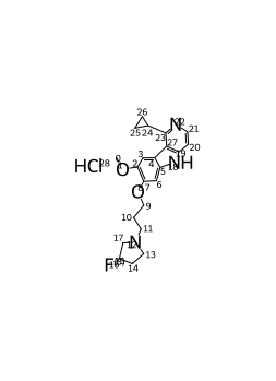 COc1cc2c(cc1OCCCN1CC[C@H](F)C1)[nH]c1ccnc(C3CC3)c12.Cl